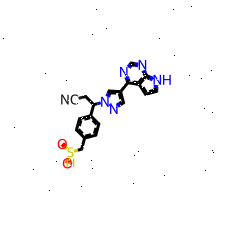 N#CCC(c1ccc(C[SH](=O)=O)cc1)n1cc(-c2ncnc3[nH]ccc23)cn1